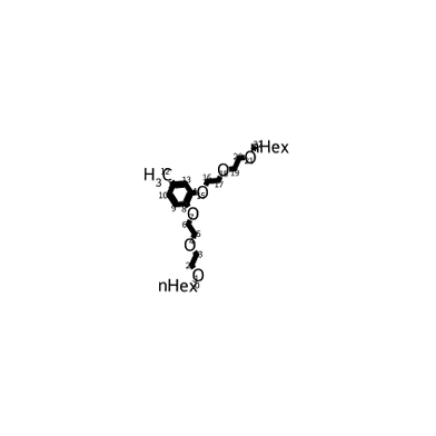 CCCCCCOCCOCCOc1ccc(C)cc1OCCOCCOCCCCCC